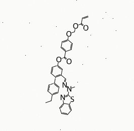 C=CC(=O)OCOc1ccc(C(=O)Oc2ccc(-c3ccc(CC)cc3)c(/C=N/N(C)c3nc4ccccc4s3)c2)cc1